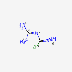 N=C(Br)N=C(N)N